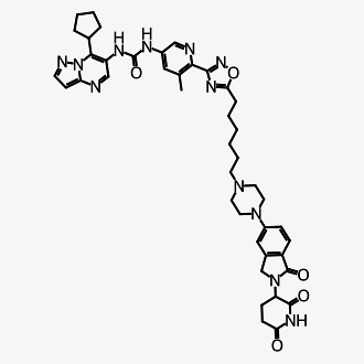 Cc1cc(NC(=O)Nc2cnc3ccnn3c2C2CCCC2)cnc1-c1noc(CCCCCCN2CCN(c3ccc4c(c3)CN(C3CCC(=O)NC3=O)C4=O)CC2)n1